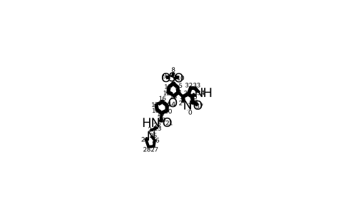 Cn1cc(-c2cc(S(C)(=O)=O)ccc2Oc2cccc(C(=O)NCCN3CCCC3)c2)c2cc[nH]c2c1=O